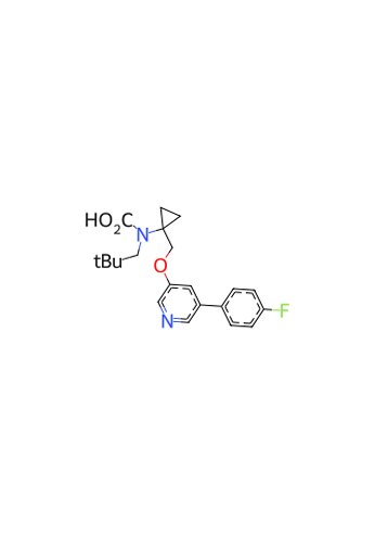 CC(C)(C)CN(C(=O)O)C1(COc2cncc(-c3ccc(F)cc3)c2)CC1